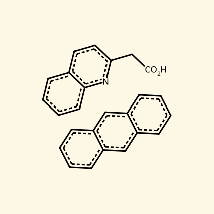 O=C(O)Cc1ccc2ccccc2n1.c1ccc2cc3ccccc3cc2c1